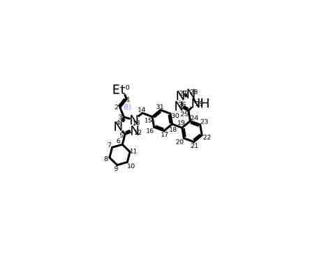 CC/C=C/c1nc(C2CCCCC2)nn1Cc1ccc(-c2ccccc2-c2nnn[nH]2)cc1